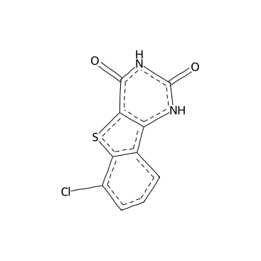 O=c1[nH]c(=O)c2sc3c(Cl)cccc3c2[nH]1